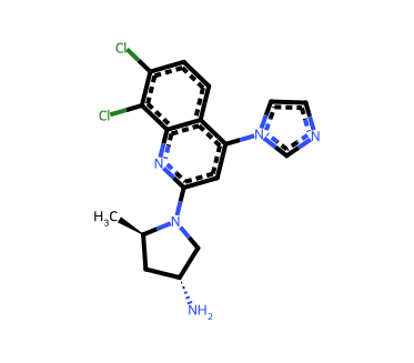 C[C@@H]1C[C@@H](N)CN1c1cc(-n2ccnc2)c2ccc(Cl)c(Cl)c2n1